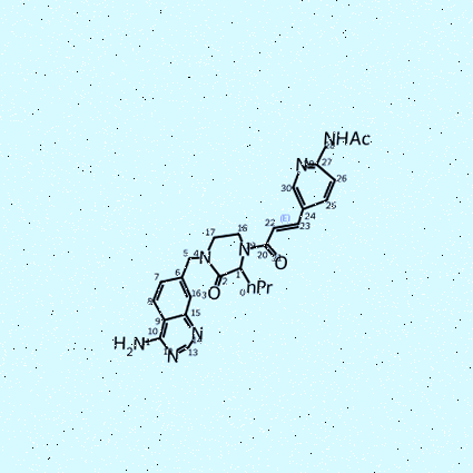 CCCC1C(=O)N(Cc2ccc3c(N)ncnc3c2)CCN1C(=O)/C=C/c1ccc(NC(C)=O)nc1